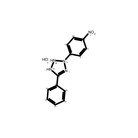 Cl.O=[N+]([O-])c1ccc(N2N=C(c3ccccc3)NN2)cc1